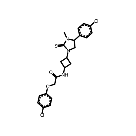 CN1C(=S)N(C2CC(NC(=O)COc3ccc(Cl)cc3)C2)CC1c1ccc(Cl)cc1